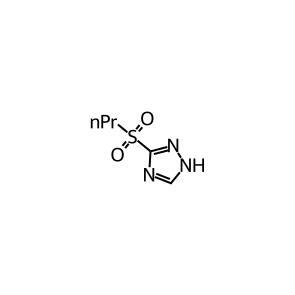 [CH2]CCS(=O)(=O)c1nc[nH]n1